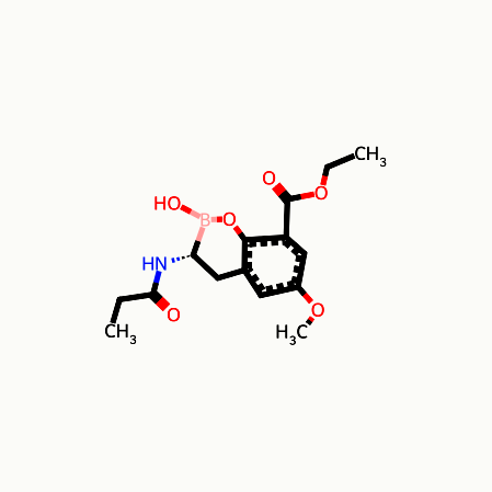 CCOC(=O)c1cc(OC)cc2c1OB(O)[C@@H](NC(=O)CC)C2